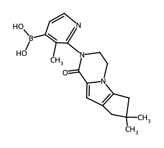 Cc1c(B(O)O)ccnc1N1CCn2c(cc3c2CC(C)(C)C3)C1=O